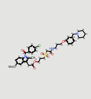 COc1ccc2c(c1)c(CC(=O)OCCCS(=O)(=O)CC(=O)NCCCOc1cccc(CN3CCCCC3)c1)c(C)n2C(=O)c1ccc(Cl)cc1